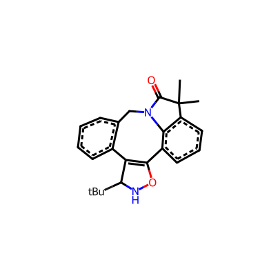 CC1(C)C(=O)N2Cc3ccccc3C3=C(ONC3C(C)(C)C)c3cccc1c32